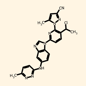 Cc1ccc(Nc2ccc3c(c2)ncn3-c2ccc(C(C)Cl)c(-n3nc(C#N)cc3C)n2)nn1